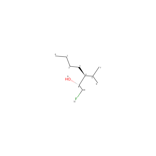 CCCC[C@@H](C(C)C)[C@@H](O)CF